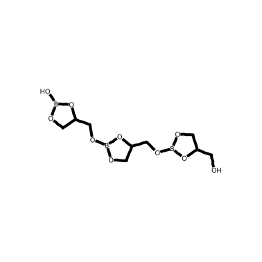 OCC1COB(OCC2COB(OCC3COB(O)O3)O2)O1